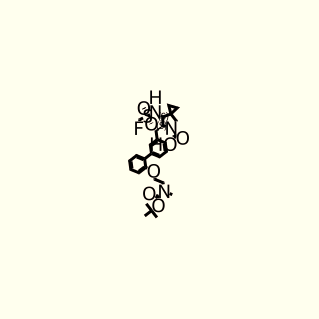 CN(CCOc1ccccc1-c1cccc(C[C@H]2[C@@H](NS(=O)(=O)CF)C3(CC3)CN2C(=O)O)c1)C(=O)OC(C)(C)C